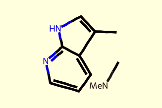 CNC.Cc1c[nH]c2ncccc12